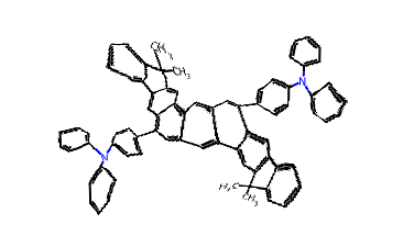 CC1(C)c2ccccc2-c2cc3c(-c4ccc(N(c5ccccc5)c5ccccc5)cc4)cc4cc5c(cc(-c6ccc(N(c7ccccc7)c7ccccc7)cc6)c6cc7c(cc65)C(C)(C)c5ccccc5-7)cc4c3cc21